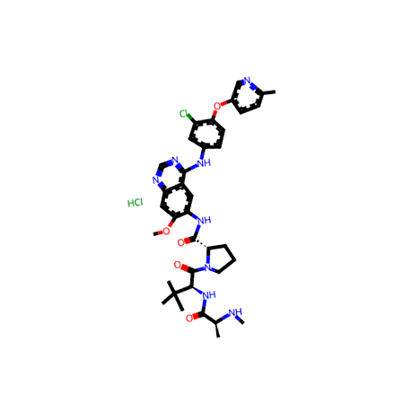 CN[C@@H](C)C(=O)N[C@H](C(=O)N1CCC[C@H]1C(=O)Nc1cc2c(Nc3ccc(Oc4ccc(C)nc4)c(Cl)c3)ncnc2cc1OC)C(C)(C)C.Cl